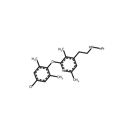 CCCNCCc1cc(C)nc(Oc2c(C)cc(Cl)cc2C)c1C